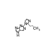 CCCc1nccn1-c1ncc2[nH]cnc2n1